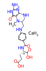 CN1c2c(nc(N)[nH]c2=O)NCC1CNc1ccc(C(=O)N[C@@H](CCC(=O)O)C(=O)O)cc1.[CaH2]